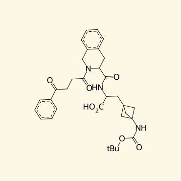 CC(C)(C)OC(=O)NC12CC(CC(NC(=O)C3Cc4ccccc4CN3C(=O)CCC(=O)c3ccccc3)C(=O)O)(C1)C2